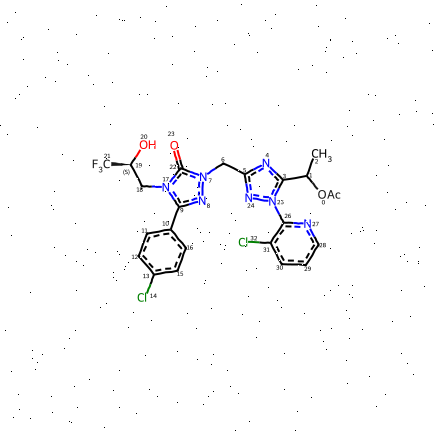 CC(=O)OC(C)c1nc(Cn2nc(-c3ccc(Cl)cc3)n(C[C@H](O)C(F)(F)F)c2=O)nn1-c1ncccc1Cl